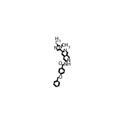 Cc1ncc(-c2cc3cc(NC(=O)c4ccc(OCc5ccccc5)cc4)ncc3cn2)n1C